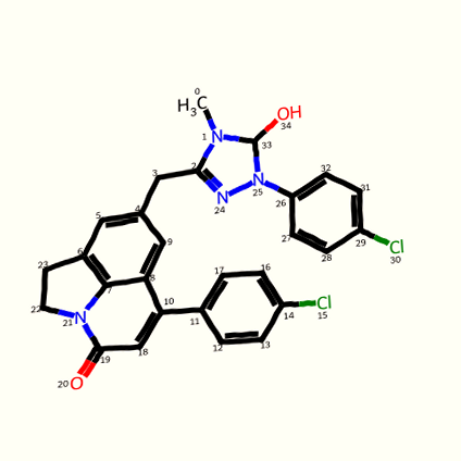 CN1C(Cc2cc3c4c(c2)c(-c2ccc(Cl)cc2)cc(=O)n4CC3)=NN(c2ccc(Cl)cc2)C1O